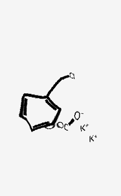 ClCc1ccccc1.O=C([O-])[O-].[K+].[K+]